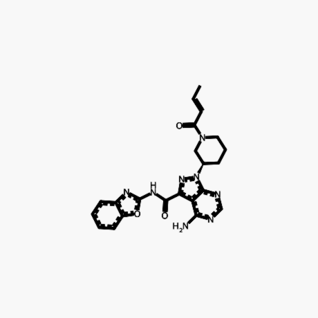 CC=CC(=O)N1CCC[C@@H](n2nc(C(=O)Nc3nc4ccccc4o3)c3c(N)ncnc32)C1